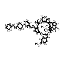 Cc1c(Cl)c2c(Cl)c(C)c1-c1c(C3=CCCC3)sc3ncnc(c13)O[C@@H](C(=O)O)Cc1cc(ccc1OCc1ccnc([C@H]3CC[C@H](OCC4COCCO4)CC3)n1)OCC(CN1CCN(C)CC1)O2